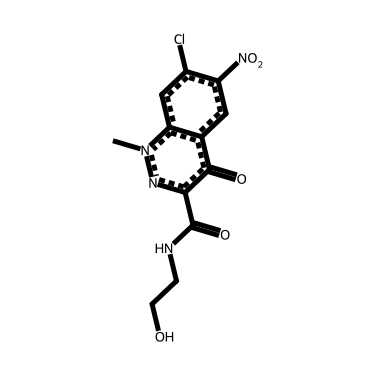 Cn1nc(C(=O)NCCO)c(=O)c2cc([N+](=O)[O-])c(Cl)cc21